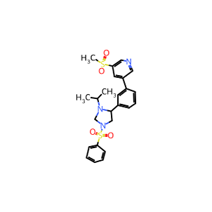 CC(C)N1CN(S(=O)(=O)c2ccccc2)CC1c1cccc(-c2cncc(S(C)(=O)=O)c2)c1